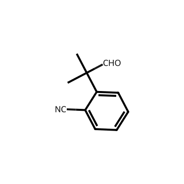 CC(C)(C=O)c1ccccc1C#N